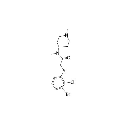 CN1CCC(N(C)C(=O)CSc2cccc(Br)c2Cl)CC1